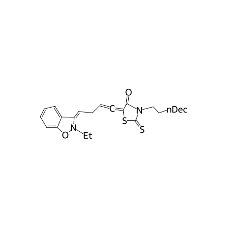 CCCCCCCCCCCCN1C(=O)C(=C=CCC=C2c3ccccc3ON2CC)SC1=S